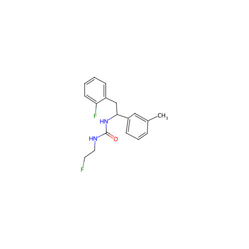 Cc1cccc(C(Cc2ccccc2F)NC(=O)NCCF)c1